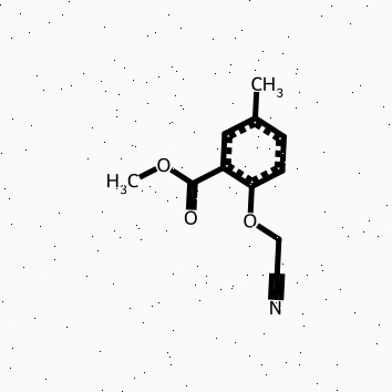 COC(=O)c1cc(C)ccc1OCC#N